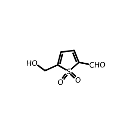 O=CC1=CC=C(CO)S1(=O)=O